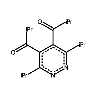 CC(C)C(=O)c1c(C(C)C)nnc(C(C)C)c1C(=O)C(C)C